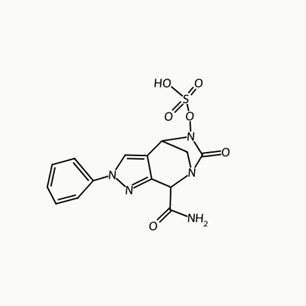 NC(=O)C1c2nn(-c3ccccc3)cc2C2CN1C(=O)N2OS(=O)(=O)O